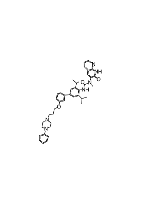 CC(C)c1cc(-c2cccc(OCCCN3CCN(c4ccccc4)CC3)c2)cc(C(C)C)c1NC(=O)N(C)c1cc2cccnc2[nH]c1=O